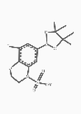 CCCS(=O)(=O)N1CCOc2c(F)cc(B3OC(C)(C)C(C)(C)O3)cc21